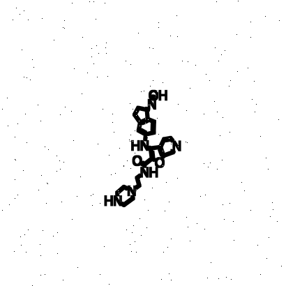 O=C(NCCN1CCNCC1)c1oc2cnccc2c1Nc1ccc2c(c1)CCC2=NO